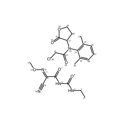 CCNC(=O)NC(=O)/C(C#N)=N/OC.Cc1cccc(C)c1N(C(=O)CCl)C1CCOC1=O